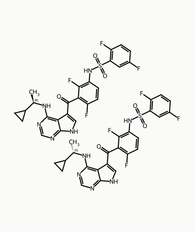 C[C@@H](Nc1ncnc2[nH]cc(C(=O)c3c(F)ccc(NS(=O)(=O)c4cc(F)ccc4F)c3F)c12)C1CC1.C[C@H](Nc1ncnc2[nH]cc(C(=O)c3c(F)ccc(NS(=O)(=O)c4cc(F)ccc4F)c3F)c12)C1CC1